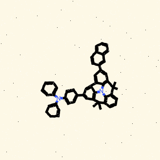 CC1(C)c2cccc3c2-n2c4c1cc(-c1ccc(N(C5=CCCC=C5)c5ccccc5)cc1)cc4c1cc(-c4ccc5ccccc5c4)cc(c12)C3(C)C